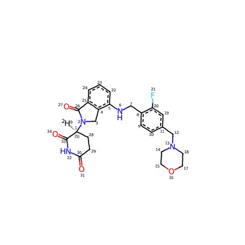 [2H][C@]1(N2Cc3c(NCc4ccc(CN5CCOCC5)cc4F)cccc3C2=O)CCC(=O)NC1=O